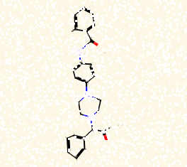 COC(=O)C(c1ccccc1)N1CCN(c2ccc(NC(=O)c3ccccc3C(F)(F)F)cc2)CC1